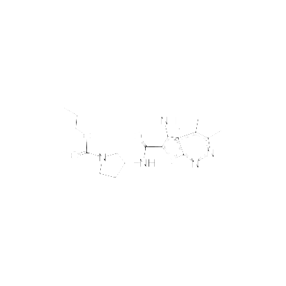 CCCOC(=O)N1CCC(NC(=O)c2sc3nnc(C)c(C)c3c2N)C1